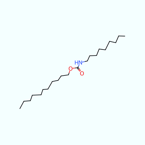 CCCCCCCCCCCOC(=O)NCCCCCCCCC